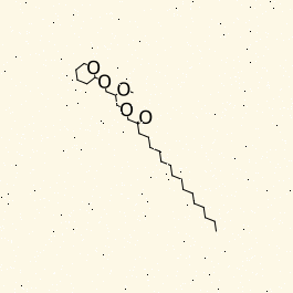 CCCCCCCCCCCCCCCC(=O)COCC(COC1CCCCO1)OC